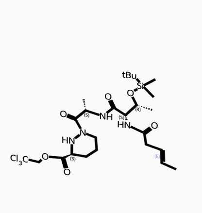 C/C=C/CC(=O)N[C@H](C(=O)N[C@@H](C)C(=O)N1CCC[C@@H](C(=O)OCC(Cl)(Cl)Cl)N1)[C@@H](C)O[Si](C)(C)C(C)(C)C